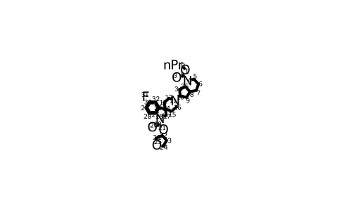 CCCOC(=O)N1CCCC2CC(N3CCC4(CC3)CN(C(=O)O[C@@H]3CCOC3)c3ccc(F)cc34)CC21